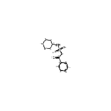 O=C(CS(=O)(=O)NC1CCCCC1)c1ccccc1